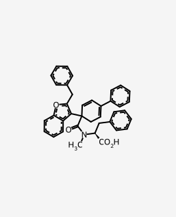 CN(C(=O)C1(c2c(Cc3ccccc3)oc3ccccc23)C=CC(c2ccccc2)=CC1)[C@@H](Cc1ccccc1)C(=O)O